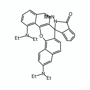 CCN(CC)c1ccc2c3c(ccc2c1)C1(c2ccccc2C(=O)N1NC)c1ccc2cccc(N(CC)CC)c2c1O3